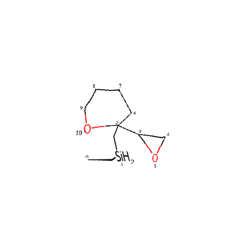 C[SiH2]C1(C2CO2)CCCCO1